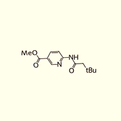 COC(=O)c1ccc(NC(=O)CC(C)(C)C)nc1